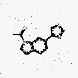 CC(=O)n1ccc2ccc(-c3cs[c]n3)cc21